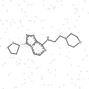 c1cn2c([C@@H]3CCCS3)nnc2c(NCCN2CCOCC2)n1